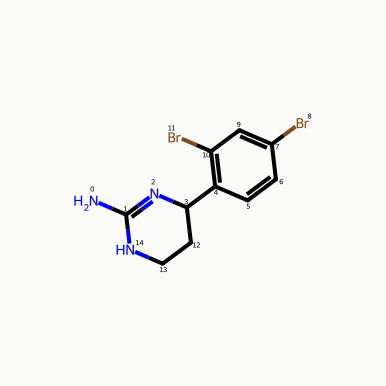 NC1=NC(c2ccc(Br)cc2Br)CCN1